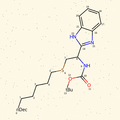 CCCCCCCCCCCCCCCSCC(NC(=O)OC(C)(C)C)c1nc2ccccc2[nH]1